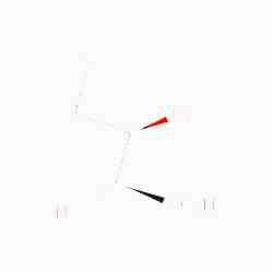 O=C(O)[C@@H](O)[C@H](O)CCl